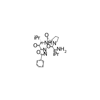 CC(C)[C@H](N)C(=O)N1CCC[C@H]1C(=O)N[C@H](C(=O)c1nnc(-c2ccccc2)o1)C(C)C